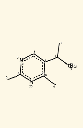 Cc1ncc(C(C)C(C)(C)C)c(C)n1